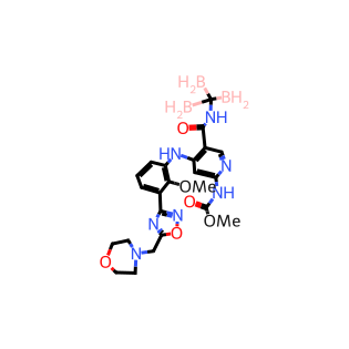 BC(B)(B)NC(=O)c1cnc(NC(=O)OC)cc1Nc1cccc(-c2noc(CN3CCOCC3)n2)c1OC